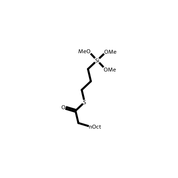 CCCCCCCCCC(=O)SCCC[Si](OC)(OC)OC